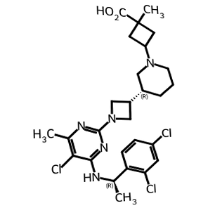 Cc1nc(N2CC([C@H]3CCCN(C4CC(C)(C(=O)O)C4)C3)C2)nc(N[C@H](C)c2ccc(Cl)cc2Cl)c1Cl